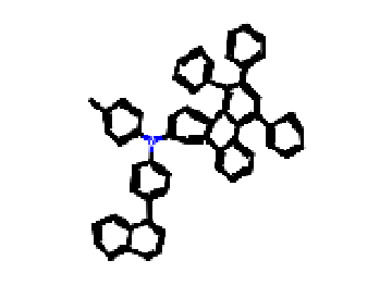 Cc1ccc(N(c2ccc(-c3cccc4ccccc34)cc2)c2ccc3c(c2)c2ccccc2c2c(-c4ccccc4)cc(-c4ccccc4)c(-c4ccccc4)c32)cc1